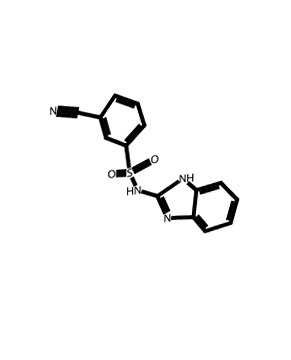 N#Cc1cccc(S(=O)(=O)Nc2nc3ccccc3[nH]2)c1